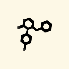 O=C1OC=CN(Cc2ccccc2)[C@H]1c1ccc(F)cc1